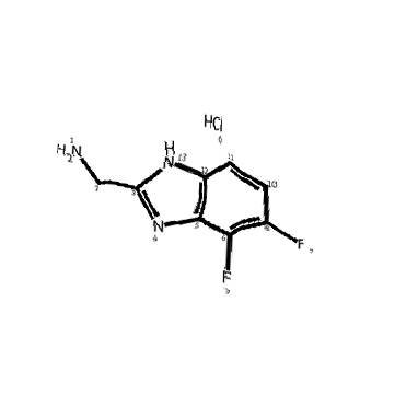 Cl.NCc1nc2c(F)c(F)ccc2[nH]1